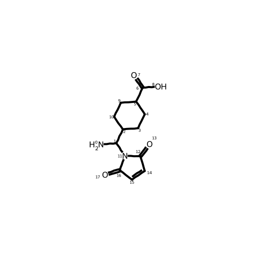 NC(C1CCC(C(=O)O)CC1)N1C(=O)C=CC1=O